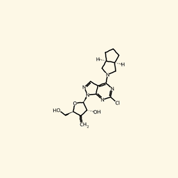 C=C1[C@@H](O)[C@H](n2ncc3c(N4C[C@H]5CCC[C@H]5C4)nc(Cl)nc32)O[C@@H]1CO